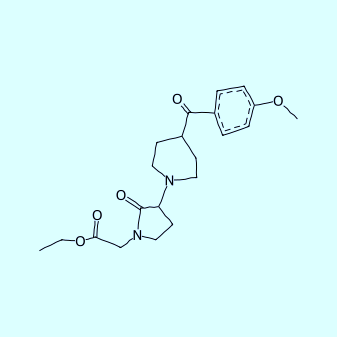 CCOC(=O)CN1CCC(N2CCC(C(=O)c3ccc(OC)cc3)CC2)C1=O